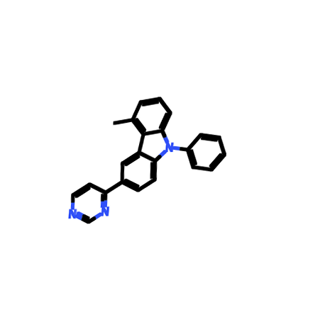 Cc1cccc2c1c1cc(-c3ccncn3)ccc1n2-c1ccccc1